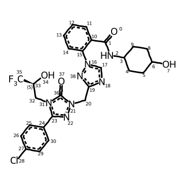 O=C(NC1CCC(O)CC1)c1ccccc1-n1cnc(Cn2nc(-c3ccc(Cl)cc3)n(C[C@H](O)C(F)(F)F)c2=O)n1